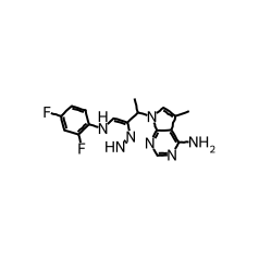 Cc1cn(C(C)/C(=C/Nc2ccc(F)cc2F)N=N)c2ncnc(N)c12